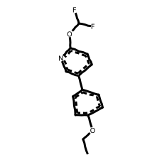 CCOc1ccc(-c2ccc(OC(F)F)nc2)cc1